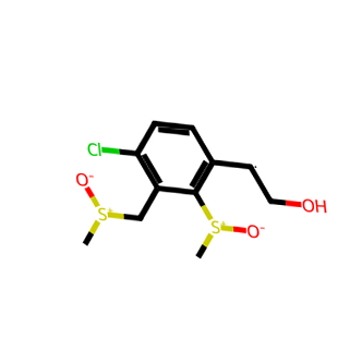 C[S+]([O-])Cc1c(Cl)ccc([CH]CO)c1[S+](C)[O-]